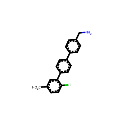 NCc1ccc(-c2ccc(-c3cc(C(=O)O)ccc3Cl)cc2)cc1